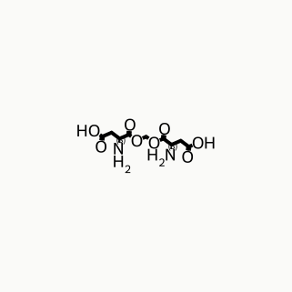 N[C@@H](CC(=O)O)C(=O)OCOC(=O)[C@@H](N)CC(=O)O